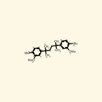 COc1cc(C(C)(C)CCC(C)(C)c2ccc(C(C)(C)C)c(OC)c2)ccc1C(C)(C)C